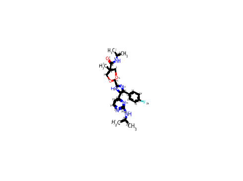 CC(C)NC(=O)C1(C)COC(c2nc(-c3ccc(F)cc3)c(-c3ccnc(NC(C)C)n3)[nH]2)OC1